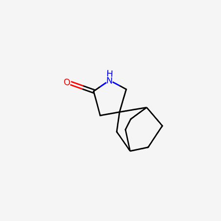 O=C1CC2(CN1)CC1CCC2CC1